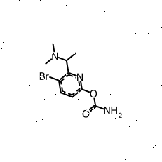 CC(c1nc(OC(N)=O)ccc1Br)N(C)C